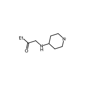 CCC(=O)CNC1CC[N]CC1